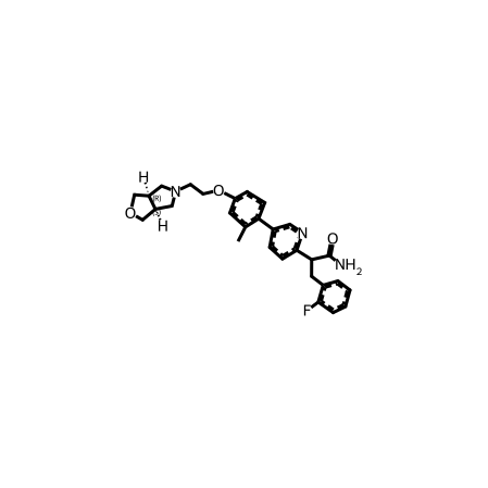 Cc1cc(OCCN2C[C@H]3COC[C@H]3C2)ccc1-c1ccc(C(Cc2ccccc2F)C(N)=O)nc1